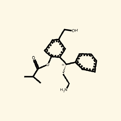 CC(C)C(=O)Oc1ccc(CO)cc1[C@@H](CCN)c1ccccc1